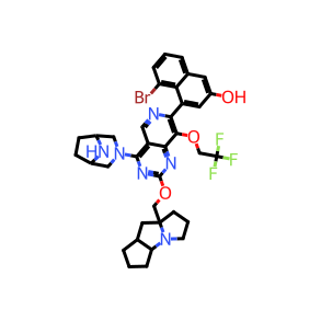 Oc1cc(-c2ncc3c(N4CC5CCC(C4)N5)nc(OCC45CCCN4C4CCCC4C5)nc3c2OCC(F)(F)F)c2c(Br)cccc2c1